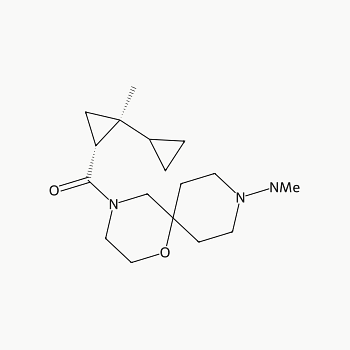 CNN1CCC2(CC1)CN(C(=O)[C@@H]1C[C@@]1(C)C1CC1)CCO2